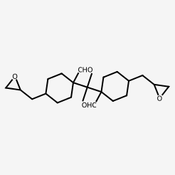 CC(C)(C1(C=O)CCC(CC2CO2)CC1)C1(C=O)CCC(CC2CO2)CC1